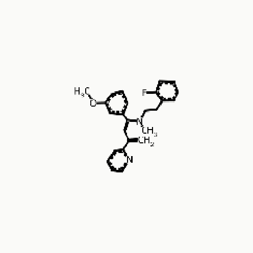 C=C(/C=C(/c1cccc(OC)c1)N(C)CCc1ccccc1F)c1ccccn1